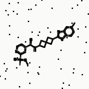 Cc1ccc2sc(C3CC4(CC(NC(=O)c5ccnc(S(C)(=O)=NI)c5)C4)C3)nc2c1